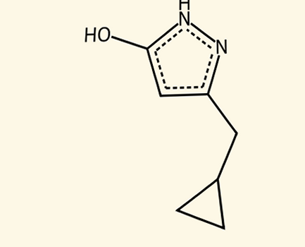 Oc1cc(CC2CC2)n[nH]1